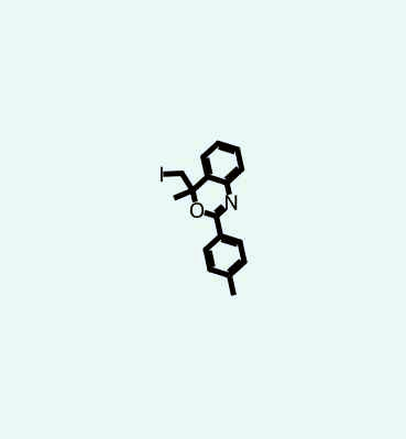 Cc1ccc(C2=Nc3ccccc3C(C)(CI)O2)cc1